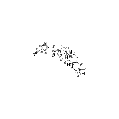 CN[C@]1(C)CC[C@H]2C(CC[C@@H]3C2CC[C@]2(C)[C@@H](C(=O)Cn4cc(C#N)cn4)CC[C@@H]32)C1